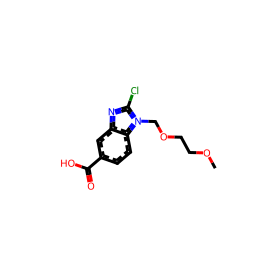 COCCOCn1c(Cl)nc2cc(C(=O)O)ccc21